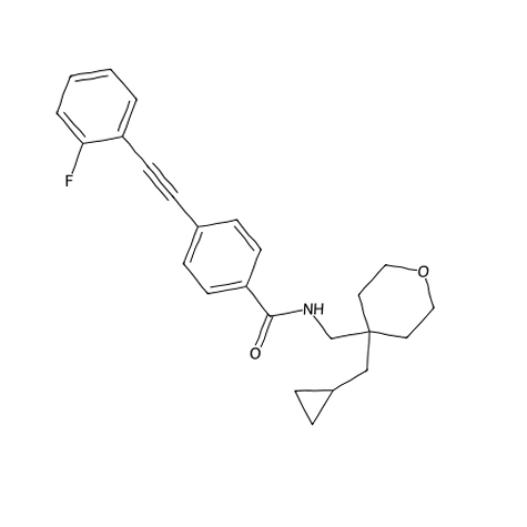 O=C(NCC1(CC2CC2)CCOCC1)c1ccc(C#Cc2ccccc2F)cc1